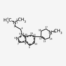 CN(C)CCn1ncc2ccc(C3=CCN(C)CC3)cc21